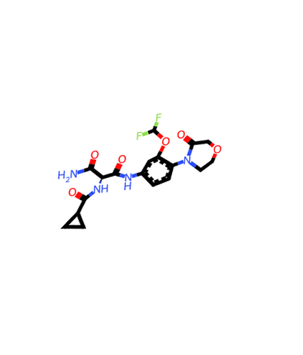 NC(=O)[C@@H](NC(=O)C1CC1)C(=O)Nc1ccc(N2CCOCC2=O)c(OC(F)F)c1